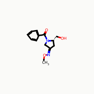 CON=C1C[C@@H](CO)N(C(=O)c2ccccc2)C1